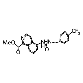 COC(=O)c1nccc2c(NC(=O)NCc3ccc(C(F)(F)F)cc3)cccc12